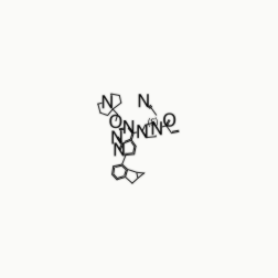 C=CC(=O)N1CCN(c2nc(OCC34CCCN3CCC4)nc3nc(-c4cccc5c4C4CC4C5)ccc23)C[C@@H]1CC#N